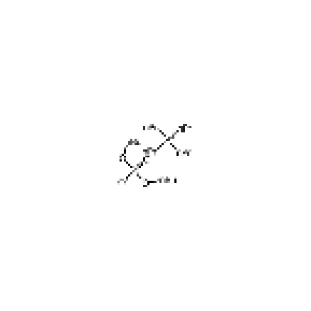 CCCCOP(=O)([O-])OCCCC.CCC[P+](CCC)(CCC)CCC